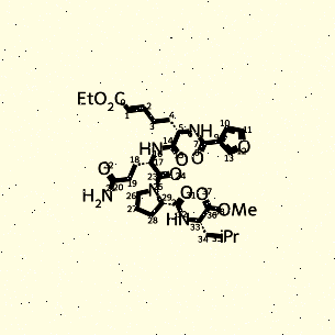 CCOC(=O)C=CCC[C@H](NC(=O)c1ccoc1)C(=O)N[C@@H](CCC(N)=O)C(=O)N1CCC[C@H]1C(=O)N[C@@H](CC(C)C)C(=O)OC